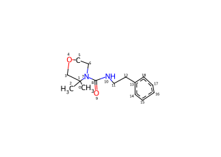 CC1(C)COCCN1C(=O)NCCc1ccccc1